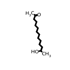 CC(=O)CCCCCCCCCCC(C)O